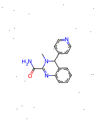 CN1C(C(N)=O)=Nc2ccccc2C1c1ccncc1